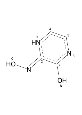 ON=c1[nH]ccnc1O